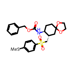 CSc1ccc(S(=O)(=O)C[C@H]2CC3(CC[C@@H]2NC(=O)OCc2ccccc2)OCCO3)cc1